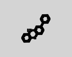 [c]1c(-c2ccccc2)ccc2c1Nc1ccccc1S2